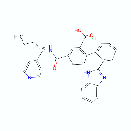 CCC[C@H](NC(=O)c1ccc(-c2c(Cl)cccc2-c2nc3ccccc3[nH]2)c(C(=O)O)c1)c1ccncc1